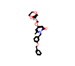 Cc1cc(OC[C@H]2COCCO2)cc(=O)n1Cc1cccc(OCc2ccccc2)c1